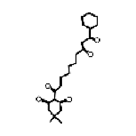 CC1(C)CC(=O)C(C(=O)CCCCCCC(=O)CC(=O)C2CCCCC2)C(=O)C1